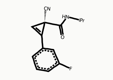 CC(C)NC(=O)[C@]1(C#N)C=C1c1cccc(F)c1